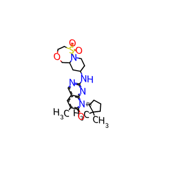 Cc1cc2cnc(NC3CCN4C(COCCS4(=O)=O)C3)nc2n([C@@H]2CCCC2(C)C)c1=O